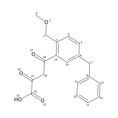 COCc1ccc(Cc2ccccc2)cc1C(=O)CC(=O)C(=O)O